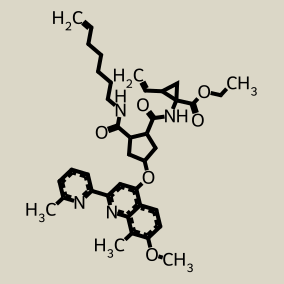 C=CCCCCCNC(=O)C1CC(Oc2cc(-c3cccc(C)n3)nc3c(C)c(OC)ccc23)CC1C(=O)NC1(C(=O)OCC)CC1C=C